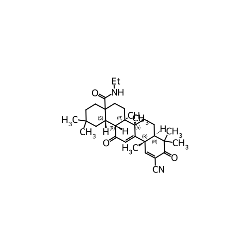 CCNC(=O)C12CCC(C)(C)C[C@H]1[C@H]1C(=O)C=C3[C@@]4(C)C=C(C#N)C(=O)C(C)(C)[C@@H]4CC[C@@]3(C)[C@]1(C)CC2